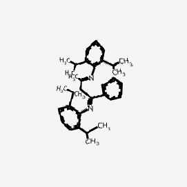 CC(CC(=Nc1c(C(C)C)cccc1C(C)C)c1ccccc1)=Nc1c(C(C)C)cccc1C(C)C